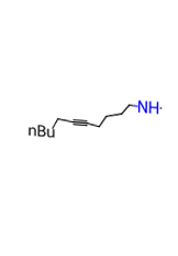 CCCCCC#CCCCC[NH]